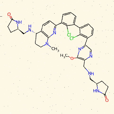 COc1nc(-c2cccc(-c3cccc(-c4ccc5c(n4)N(C)CC[C@@H]5NC[C@H]4CCC(=O)N4)c3Cl)c2Cl)cnc1CNC[C@H]1CCC(=O)N1